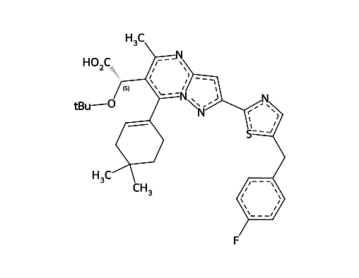 Cc1nc2cc(-c3ncc(Cc4ccc(F)cc4)s3)nn2c(C2=CCC(C)(C)CC2)c1[C@H](OC(C)(C)C)C(=O)O